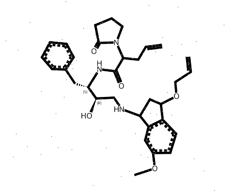 C=CCOC1CC(NC[C@@H](O)[C@H](Cc2ccccc2)NC(=O)C(CC=C)N2CCCC2=O)c2cc(OC)ccc21